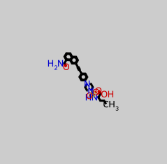 CCCC(NS(=O)(=O)N1CCN(c2ccc(C#Cc3ccc4cccc(C(N)=O)c4c3)cc2)CC1)C(=O)O